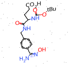 CC(C)(C)OC(=O)NC(CCC(=O)O)C(=O)NCc1ccc(/C(N)=N\O)cc1